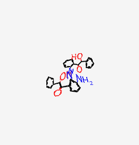 Nc1cccc(C(=O)C(O)c2ccccc2)c1N=Nc1ccccc1C(=O)C(O)c1ccccc1